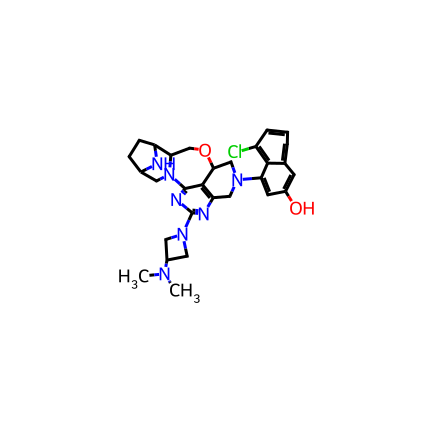 CN(C)C1CN(c2nc3c4c(n2)N2CC5CCC(N5)C2COC4CN(c2cc(O)cc4cccc(Cl)c24)C3)C1